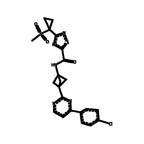 CS(=O)(=O)C1(c2nsc(C(=O)NC34CC(c5nccc(-c6ccc(Cl)cc6)n5)(C3)C4)n2)CC1